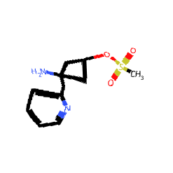 CS(=O)(=O)OC1CC(N)(c2ccccn2)C1